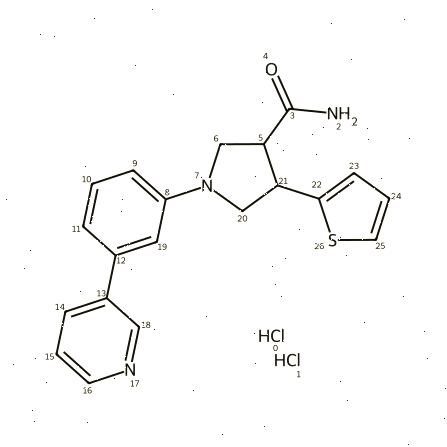 Cl.Cl.NC(=O)C1CN(c2cccc(-c3cccnc3)c2)CC1c1cccs1